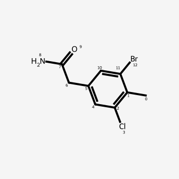 Cc1c(Cl)cc(CC(N)=O)cc1Br